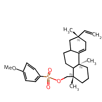 C=C[C@]1(C)CC=C2C(CCC3[C@@](C)(COS(=O)(=O)c4ccc(OC)cc4)CCC[C@]23C)C1